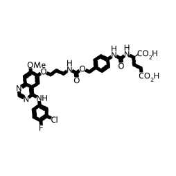 COc1cc2ncnc(Nc3ccc(F)c(Cl)c3)c2cc1OCCCNC(=O)OCc1ccc(NC(=O)N[C@@H](CCC(=O)O)C(=O)O)cc1